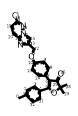 Cc1ccc(C2=C(c3ccc(OCc4cn5nc(Cl)ccc5n4)cc3)C(=O)C(C)(C)O2)cc1